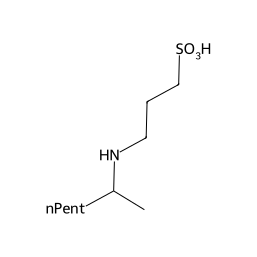 CCCCCC(C)NCCCS(=O)(=O)O